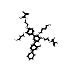 C=C(C)C(=O)OCCOc1ccc(-c2cc(-c3ccc(C4CCCCC4)cc3F)cc(OCCOC(=O)C(=C)C)c2OCCCCO)cc1OCCCO